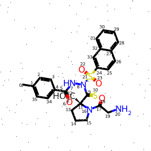 [CH2]c1ccc(C(=O)NN(C(=S)[C@@]2(C(=O)O)CCCN2C(=O)CN)S(=O)(=O)c2ccc3ccccc3c2)cc1